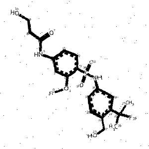 CCOc1cc(NC(=O)CCO)ccc1S(=O)(=O)Nc1ccc(CO)c(C(C)(C)F)c1